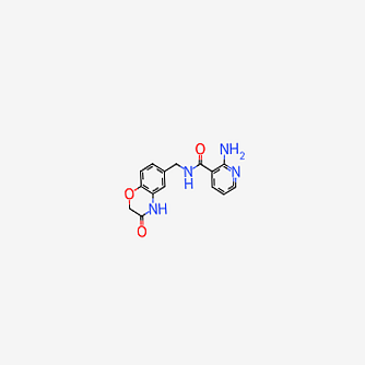 Nc1ncccc1C(=O)NCc1ccc2c(c1)NC(=O)CO2